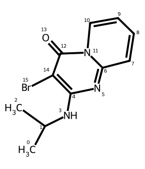 CC(C)Nc1nc2ccccn2c(=O)c1Br